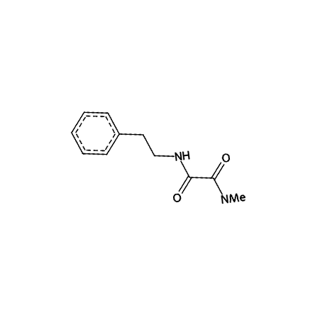 CNC(=O)C(=O)NCCc1ccccc1